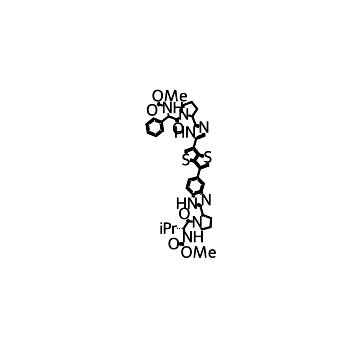 COC(=O)N[C@@H](C(=O)N1CCCC1c1ncc(-c2csc3c(-c4ccc5[nH]c(C6CCCN6C(=O)[C@H](NC(=O)OC)C(C)C)nc5c4)csc23)[nH]1)c1ccccc1